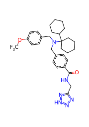 O=C(NCc1nn[nH]n1)c1ccc(CN(Cc2ccc(OC(F)(F)F)cc2)C2(C3CCCCC3)CCCCC2)cc1